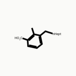 CCCCCCCCc1cccc(C(=O)O)c1C